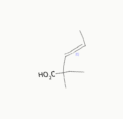 C/C=C/C(C)(C)C(=O)O